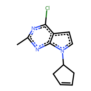 Cc1nc(Cl)c2ccn(C3CC=CC3)c2n1